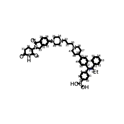 CC/C(=C(\c1ccc(B(O)O)cc1)c1ccc(C2CCN(CCCN3CCN(c4ccc5c(c4)CN(C4CCC(=O)NC4=O)C5=O)CC3)CC2)cc1)c1ccccc1